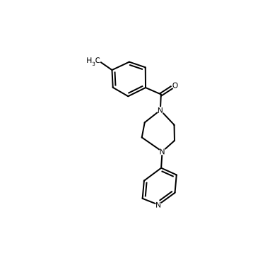 Cc1ccc(C(=O)N2CCN(c3ccncc3)CC2)cc1